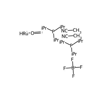 CC#N.CC#N.CC(C)P(C(C)C)C(C)C.CC(C)P(C(C)C)C(C)C.F[B-](F)(F)F.[C]=O.[RuH+]